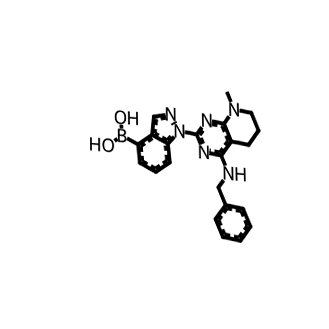 CN1CCCc2c(NCc3ccccc3)nc(-n3ncc4c(B(O)O)cccc43)nc21